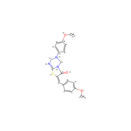 COc1ccc(/C=c2/sc3n(c2=O)CN(c2ccc(OC)cc2)CN=3)cc1